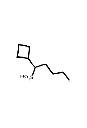 O=S(=O)(O)C(CCCI)C1CCC1